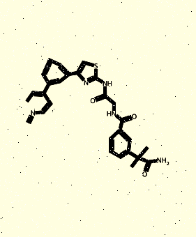 C=N/C=C\C(=C/C)c1cccc(-c2csc(NC(=O)CNC(=O)c3cccc(C(C)(C)C(N)=O)c3)n2)c1